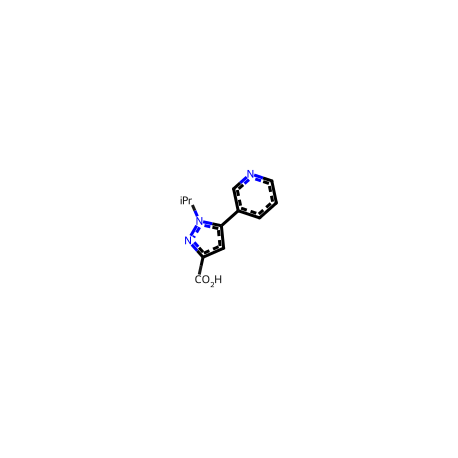 CC(C)n1nc(C(=O)O)cc1-c1cccnc1